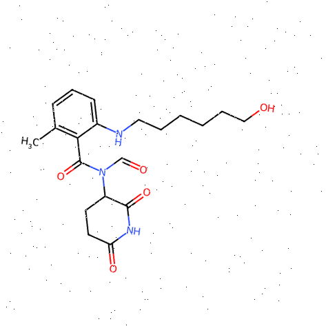 Cc1cccc(NCCCCCCO)c1C(=O)N(C=O)C1CCC(=O)NC1=O